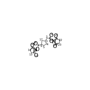 O=C(CC1CCC(C(=O)ON2C(=O)CCC2=O)C1)ON1C(=O)CCC1=O